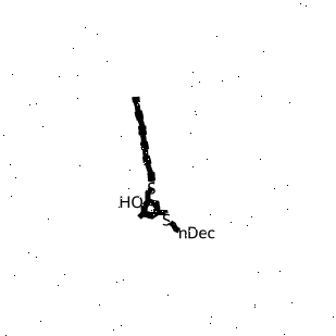 C#CC#CC#CC#CC#CC#CSCc1cc(CSCCCCCCCCCCCC)cc(C)c1O